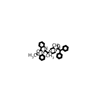 COc1ccccc1N1C(=O)C2C=CC=CC2N=C1C(C)N1CCN(C(=O)C(c2ccccc2)c2ccccc2)C(C)C1